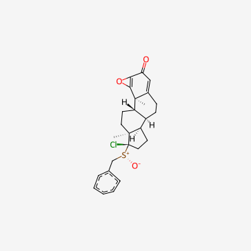 C[C@@]12C(=CC(=O)C3=C1O3)CC[C@H]1[C@H]3CC[C@](Cl)([S@+]([O-])Cc4ccccc4)[C@@]3(C)CC[C@@H]12